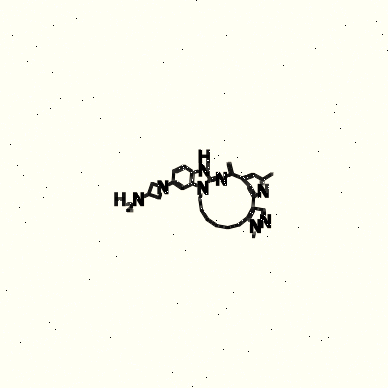 C=C1/N=C2\Nc3ccc(N4CC(N)C4)cc3N2CCCCCCc2c(cnn2C)-c2cc1cc(C)n2